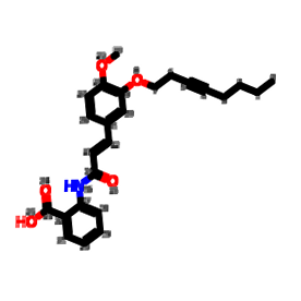 CCCCC#CCCOc1cc(C=CC(=O)Nc2ccccc2C(=O)O)ccc1OC